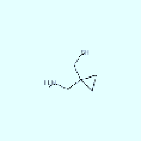 NCC1(CS)CC1